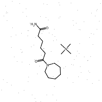 C[N+](C)(C)C.NC(=O)CCCCC(=O)N1CCCCCC1